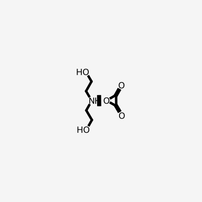 C=C.O=c1oc1=O.OCCNCCO